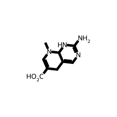 CN1C=C(C(=O)O)CC2=CN=C(N)NC21